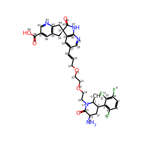 CC1C(c2c(F)ccc(F)c2F)CC(N)C(=O)N1CCOCCOC/C=C/c1cnc2c(c1)[C@@]1(Cc3cc(C(=O)O)cnc3C1)C(=O)N2